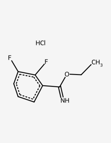 CCOC(=N)c1cccc(F)c1F.Cl